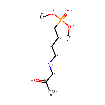 CCOP(=O)(CCCCNCC(=O)OC)OCC